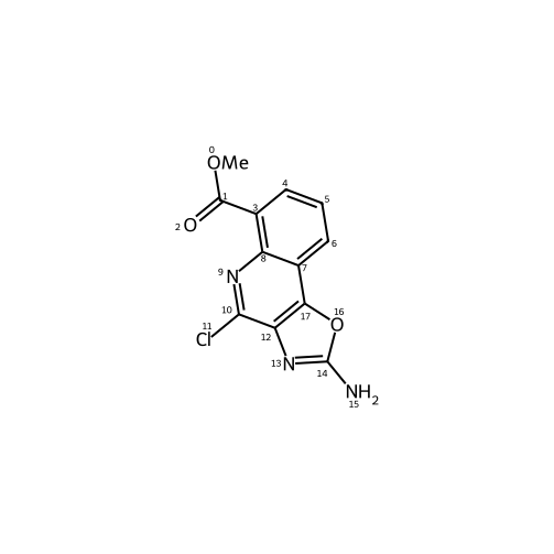 COC(=O)c1cccc2c1nc(Cl)c1nc(N)oc12